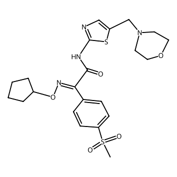 CS(=O)(=O)c1ccc(/C(=N\OC2CCCC2)C(=O)Nc2ncc(CN3CCOCC3)s2)cc1